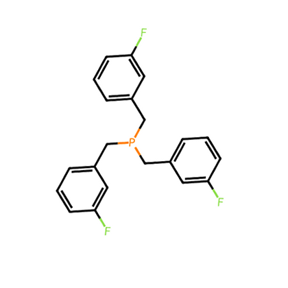 Fc1cccc(CP(Cc2cccc(F)c2)Cc2cccc(F)c2)c1